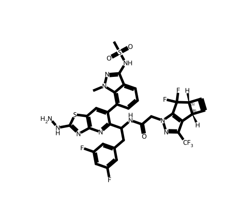 Cn1nc(NS(C)(=O)=O)c2cccc(-c3cc4sc(NN)nc4nc3C(Cc3cc(F)cc(F)c3)NC(=O)Cn3nc(C(F)(F)F)c4c3C(F)(F)[C@@H]3C#C[C@H]43)c21